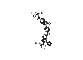 CN(C)C(=O)c1cc2cnc(Nc3ccc(N4CC5(CCN(C(=O)OC(C)(C)C)CC5)CC4=O)cn3)nc2n1C1CCCC1